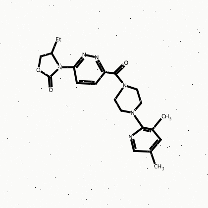 CCC1COC(=O)N1c1ccc(C(=O)N2CCN(c3ncc(C)cc3C)CC2)nn1